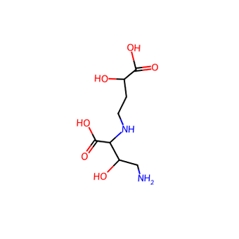 NCC(O)C(NCCC(O)C(=O)O)C(=O)O